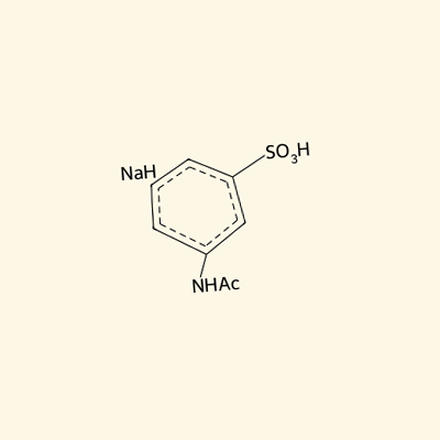 CC(=O)Nc1cccc(S(=O)(=O)O)c1.[NaH]